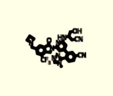 Cn1cnnc1-c1ccc(C#N)cc1-c1cc(NC(CO)CC#N)nc(N2Cc3c(cc(CN4CCC4)cc3C(F)(F)F)C2=O)c1